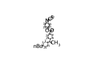 CCCCC1CCC(C(C)C2CCC(C(=O)Oc3ccc(N=C=S)cc3)CC2)CC1